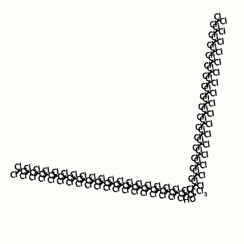 ClC(Cl)Cl.ClC(Cl)Cl.ClC(Cl)Cl.ClC(Cl)Cl.ClC(Cl)Cl.ClC(Cl)Cl.ClC(Cl)Cl.ClC(Cl)Cl.ClC(Cl)Cl.ClC(Cl)Cl.ClC(Cl)Cl.ClC(Cl)Cl.ClC(Cl)Cl.ClC(Cl)Cl.ClC(Cl)Cl.ClC(Cl)Cl.ClC(Cl)Cl.ClC(Cl)Cl.ClC(Cl)Cl.ClC(Cl)Cl.ClC(Cl)Cl.ClC(Cl)Cl.ClC(Cl)Cl.ClC(Cl)Cl.ClC(Cl)Cl.ClC(Cl)Cl.ClC(Cl)Cl.ClC(Cl)Cl.ClC(Cl)Cl.ClC(Cl)Cl.ClC(Cl)Cl.ClC(Cl)Cl.ClC(Cl)Cl.ClC(Cl)Cl.ClC(Cl)Cl.ClC(Cl)Cl.OCC(Cl)(Cl)Cl